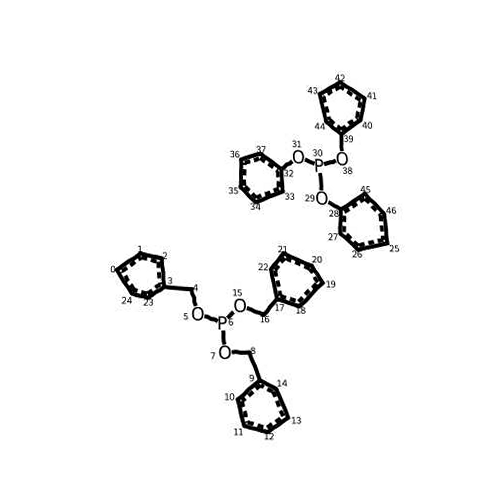 c1ccc(COP(OCc2ccccc2)OCc2ccccc2)cc1.c1ccc(OP(Oc2ccccc2)Oc2ccccc2)cc1